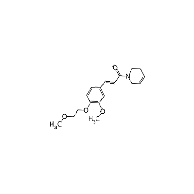 COCCOc1ccc(/C=C/C(=O)N2CC=CCC2)cc1OC